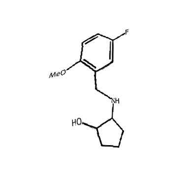 COc1ccc(F)cc1CNC1CCCC1O